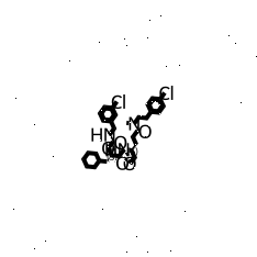 CN(CCc1ccc(Cl)cc1)C(=O)CC[C@@H](C=O)NC(=O)[C@H](CC1CCCCC1)OC(=O)NCc1cccc(Cl)c1